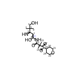 CC(C)(CO)C(=N)/C=C(\O)NC(=O)C(C)(C)S(=O)(=O)C1CCOCC1